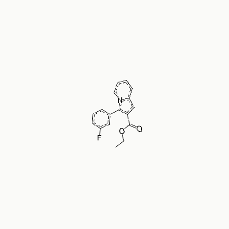 CCOC(=O)c1cc2ccccn2c1-c1cccc(F)c1